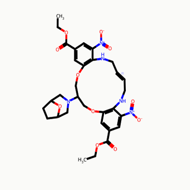 CCOC(=O)c1cc2c(c([N+](=O)[O-])c1)NC/C=C/CNc1c(cc(C(=O)OCC)cc1[N+](=O)[O-])OCC(N1CC3CCC(C1)O3)CO2